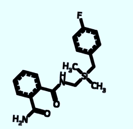 C[Si](C)(CNC(=O)c1ccccc1C(N)=O)Cc1ccc(F)cc1